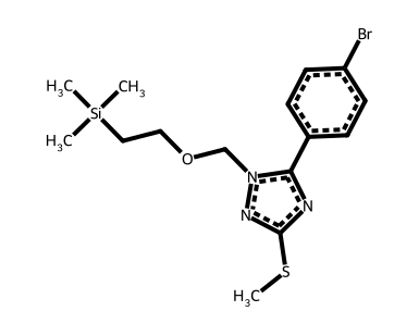 CSc1nc(-c2ccc(Br)cc2)n(COCC[Si](C)(C)C)n1